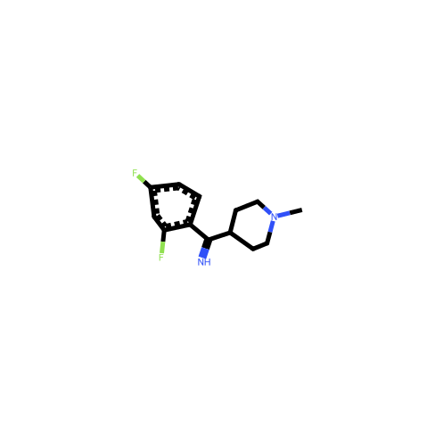 CN1CCC(C(=N)c2ccc(F)cc2F)CC1